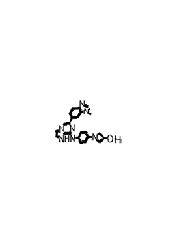 Cn1cnc2ccc(-c3cn4ccnc4c(Nc4ccc(N5CC(O)C5)cc4)n3)cc21